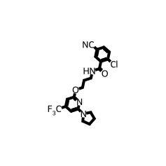 N#Cc1ccc(Cl)c(C(=O)NCCCOc2cc(C(F)(F)F)cc(N3CCCC3)n2)c1